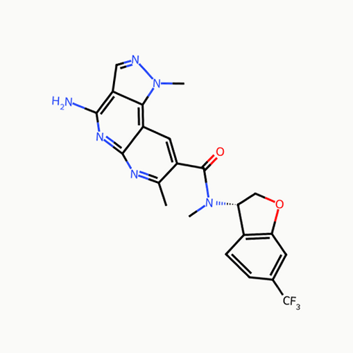 Cc1nc2nc(N)c3cnn(C)c3c2cc1C(=O)N(C)[C@@H]1COc2cc(C(F)(F)F)ccc21